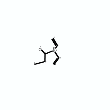 C=C[SiH](C=C)C(Cl)CC